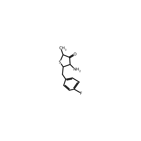 CC1SC(Cc2ccc(F)cc2)C(N)C1=O